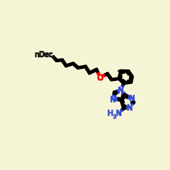 CCCCCCCCCCCCCCCCCCOCCc1[c]cccc1-n1cnc2c(N)ncnc21